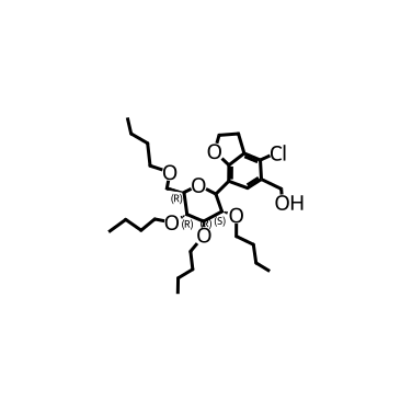 CCCCOC[C@H]1OC(c2cc(CO)c(Cl)c3c2OCC3)[C@H](OCCCC)[C@@H](OCCCC)[C@@H]1OCCCC